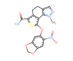 Cn1ncc2c1-c1c(Oc3cc4c(cc3[N+](=O)[O-])OCO4)sc(C(N)=O)c1CC2